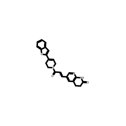 O=C1CCc2cc(/C=C/C(=O)N3CC=C(c4cc5ccccc5o4)CC3)cnc2N1